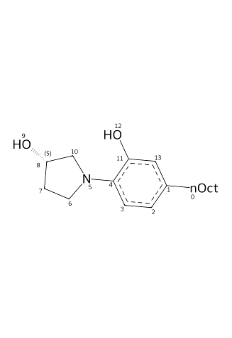 CCCCCCCCc1ccc(N2CC[C@H](O)C2)c(O)c1